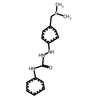 CN(C)Cc1ccc(NNC(=O)Nc2ccccc2)cc1